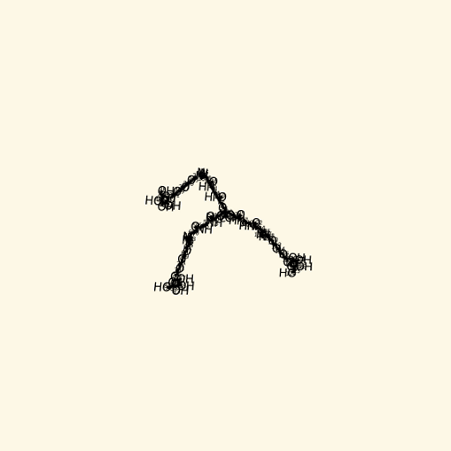 CC(C)C(COCCC(=O)NCCCNC(=O)CCc1cn(CCOCCOCCOCCO[C@H]2OC(CO)[C@@H](O)C(O)C2O)nn1)(COCCC(=O)NCCCNC(=O)CCc1cn(CCOCCOCCOCCO[C@H]2OC(CO)[C@@H](O)C(O)C2O)nn1)COCCC(=O)NCCCNC(=O)CCc1cn(CCOCCOCCOCCO[C@H]2OC(CO)[C@@H](O)C(O)C2O)nn1